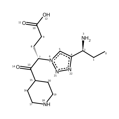 CC[C@H](N)c1cn([C@@H](CCC(=O)O)C(=O)C2CCNCC2)nn1